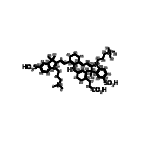 CN(C)CCC[N+]1=C(/C=C/C2=C(NC3=CC=C(CCC(=O)O)CC3)C(=C/C=C3/N(CCC[N+](C)(C)C)c4ccc(S(=O)(=O)O)cc4C3(C)C)/CCC2)C(C)(C)c2cc(S(=O)(=O)O)ccc21